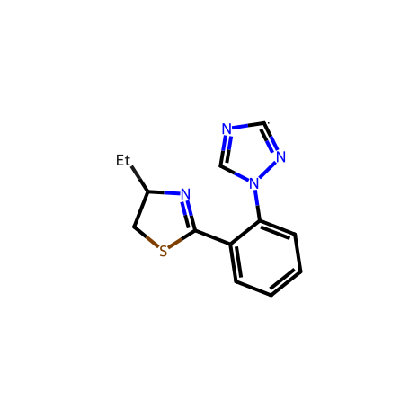 CCC1CSC(c2ccccc2-n2cn[c]n2)=N1